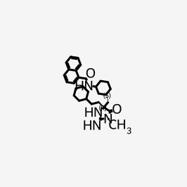 CN1C(=N)N[C@](CCC2CCCCC2)(C[C@H]2CCCC(NC(=O)c3cccc4ccccc34)C2)C1=O